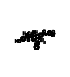 Cc1c(C(=O)N(C)c2ccc(O)cc2)cc(-c2cc3c(cc2C(=O)N2Cc4ccccc4C[C@H]2C)CN(C(=O)Cc2ccc4c(c2)OCO4)C3)n1C